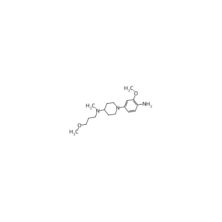 COCCCN(C)C1CCN(c2ccc(N)c(OC)c2)CC1